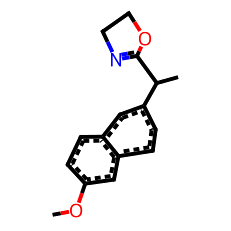 COc1ccc2cc(C(C)C3=NCCO3)ccc2c1